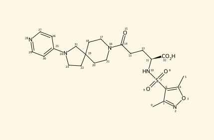 Cc1noc(C)c1S(=O)(=O)N[C@@H](CCC(=O)N1CCC2(CC1)CCN(c1ccncc1)C2)C(=O)O